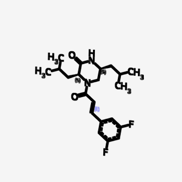 CC(C)C[C@H]1CN(C(=O)/C=C/c2cc(F)cc(F)c2)[C@@H](CC(C)C)C(=O)N1